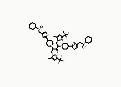 Cc1cc(C(F)(F)F)nn1CC(C(=O)C(Cn1nc(C(F)(F)F)cc1C)N1CCC(c2nc(C[S+]([O-])C3CCCCC3)cs2)CC1)N1CCC(c2nc(C[S+]([O-])C3CCCCC3)cs2)CC1